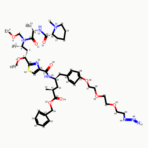 CCCO[C@H](C[C@H](C(C)C)N(COCC)C(=O)[C@@H](NC(=O)[C@H]1CCCCN1C)[C@@H](C)CC)c1nc(C(=O)N[C@@H](Cc2ccc(OCCOCCOCCN=[N+]=[N-])cc2)C[C@H](C)C(=O)OCc2ccccc2)cs1